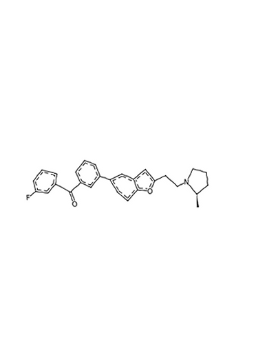 C[C@@H]1CCCN1CCc1cc2cc(-c3cccc(C(=O)c4cccc(F)c4)c3)ccc2o1